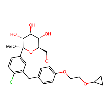 CO[C@@]1(c2ccc(Cl)c(Cc3ccc(OCCOC4CC4)cc3)c2)O[C@H](CO)[C@@H](O)[C@H](O)[C@H]1O